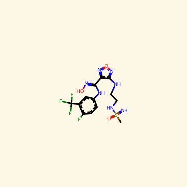 CS(=N)(=O)NCCNc1nonc1/C(=N/O)Nc1ccc(F)c(C(F)(F)F)c1